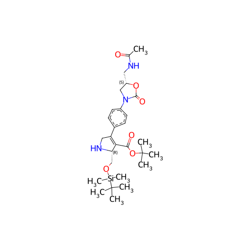 CC(=O)NC[C@H]1CN(c2ccc(C3=C(C(=O)OC(C)(C)C)[C@H](CO[Si](C)(C)C(C)(C)C)NC3)cc2)C(=O)O1